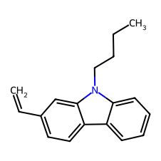 C=Cc1ccc2c3ccccc3n(CCCC)c2c1